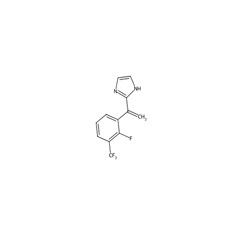 C=C(c1ncc[nH]1)c1cccc(C(F)(F)F)c1F